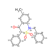 Cc1ccc2c(c1)C(=O)C(c1ccccc1)S(=O)(=O)N2Cc1ccccc1